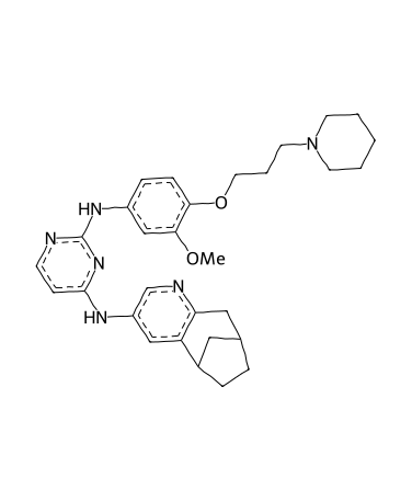 COc1cc(Nc2nccc(Nc3cnc4c(c3)C3CCC(C4)C3)n2)ccc1OCCCN1CCCCC1